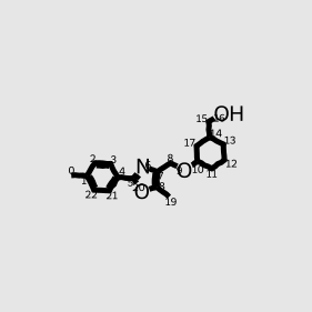 Cc1ccc(-c2nc(COC3CCCC(CO)C3)c(C)o2)cc1